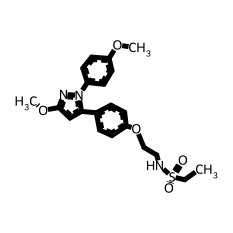 CCS(=O)(=O)NCCOc1ccc(-c2cc(OC)nn2-c2ccc(OC)cc2)cc1